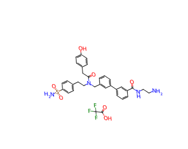 NCCNC(=O)c1cccc(-c2cccc(CN(CCc3ccc(S(N)(=O)=O)cc3)C(=O)Cc3ccc(O)cc3)c2)c1.O=C(O)C(F)(F)F